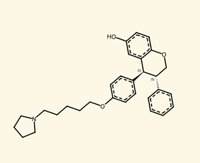 Oc1ccc2c(c1)[C@H](c1ccc(OCCCCCN3CCCC3)cc1)[C@@H](c1ccccc1)CO2